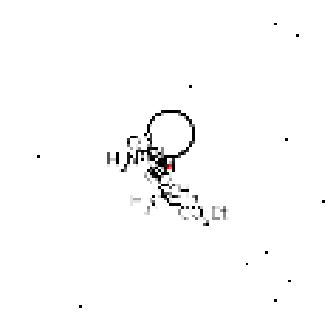 CCOC(=O)CCC(C)(C)COS(=O)(=O)ON1C(=O)N2CCCCCCCCCCC[C@@H]1CC[C@H]2C(N)=O